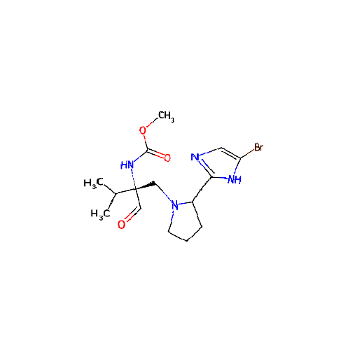 COC(=O)N[C@@](C=O)(CN1CCCC1c1ncc(Br)[nH]1)C(C)C